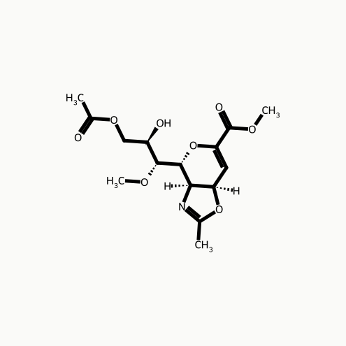 COC(=O)C1=C[C@H]2OC(C)=N[C@H]2[C@H]([C@H](OC)[C@H](O)COC(C)=O)O1